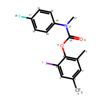 Cc1cc(C(F)(F)F)cc(I)c1OC(=O)N(C)c1ccc(F)cc1